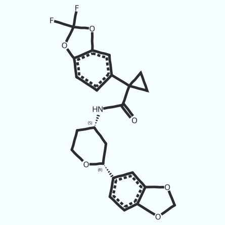 O=C(N[C@H]1CCO[C@@H](c2ccc3c(c2)OCO3)C1)C1(c2ccc3c(c2)OC(F)(F)O3)CC1